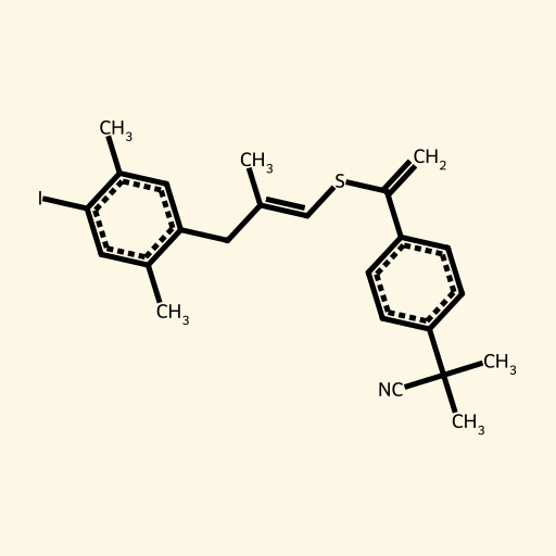 C=C(S/C=C(\C)Cc1cc(C)c(I)cc1C)c1ccc(C(C)(C)C#N)cc1